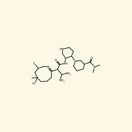 CCC1(C)CCC/C(C(C(=O)NC2CNCCC2N2CCCC(C(=O)N(C)C)C2)C(N)N)=N\CC(F)C1